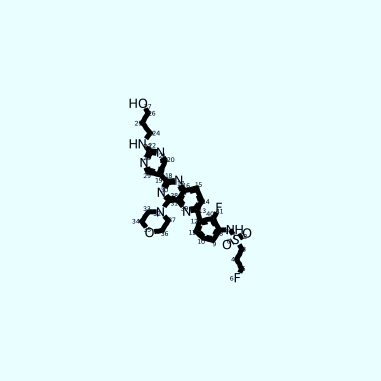 O=S(=O)(CCCF)Nc1cccc(-c2ccc3nc(-c4cnc(NCCCO)nc4)nc(N4CCOCC4)c3n2)c1F